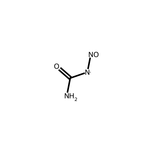 NC(=O)[N]N=O